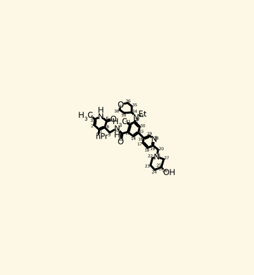 CCCc1cc(C)[nH]c(=O)c1CNC(=O)c1cc(-c2ccc(CN3CCC[C@H](O)C3)nc2)cc(N(CC)C2CCOCC2)c1C